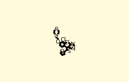 Cc1c(-c2c(-c3ccco3)sc3ncnc(Cl)c23)ccc(OCCN2CCN(C)CC2)c1Cl